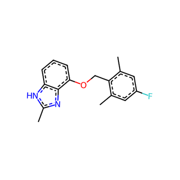 Cc1nc2c(OCc3c(C)cc(F)cc3C)cccc2[nH]1